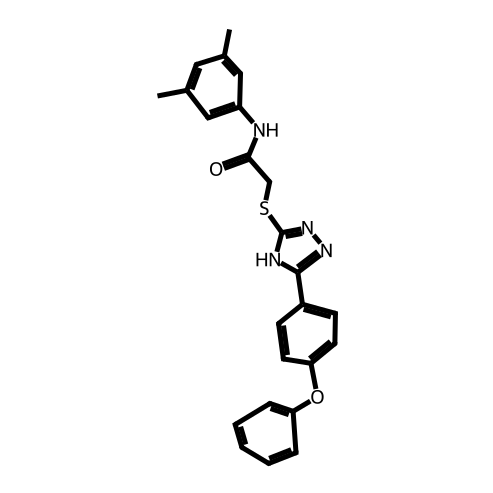 Cc1cc(C)cc(NC(=O)CSc2nnc(-c3ccc(Oc4ccccc4)cc3)[nH]2)c1